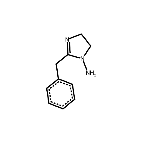 NN1CCN=C1Cc1ccccc1